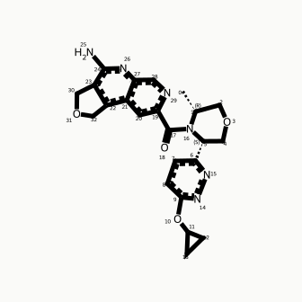 C[C@@H]1COC[C@H](c2ccc(OC3CC3)nn2)N1C(=O)c1cc2c3c(c(N)nc2cn1)COC3